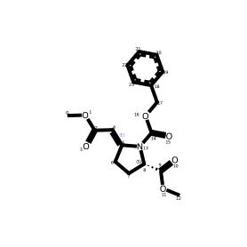 COC(=O)/C=C1\CC[C@@H](C(=O)OC)N1C(=O)OCc1ccccc1